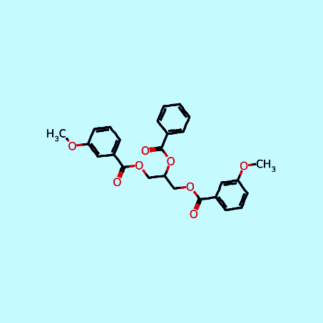 COc1cccc(C(=O)OCC(COC(=O)c2cccc(OC)c2)OC(=O)c2ccccc2)c1